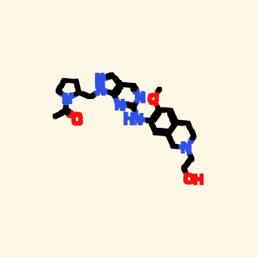 COc1cc2c(cc1Nc1ncc3cnn(CC4CCCN4C(C)=O)c3n1)CN(CCO)CC2